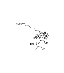 CC(=O)O.CC(=O)O.CC(=O)O.CCCCCCCCCCCCCCCCCC(=O)O.OCC(O)CO.OCC(O)CO